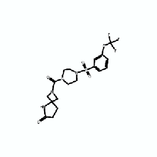 O=C1CCC2(CN(C(=O)N3CCN(S(=O)(=O)c4cccc(OC(F)(F)F)c4)CC3)C2)N1